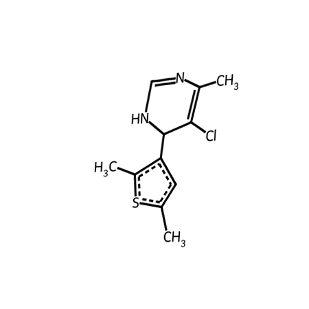 CC1=C(Cl)C(c2cc(C)sc2C)NC=N1